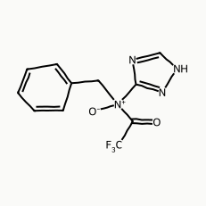 O=C(C(F)(F)F)[N+]([O-])(Cc1ccccc1)c1nc[nH]n1